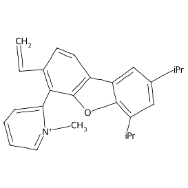 C=Cc1ccc2c(oc3c(C(C)C)cc(C(C)C)cc32)c1-c1cccc[n+]1C